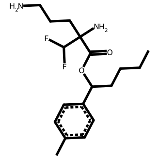 CCCCC(OC(=O)C(N)(CCCN)C(F)F)c1ccc(C)cc1